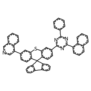 c1ccc(-c2nc(-c3ccc4c(c3)Sc3cc(-c5cncc6ccccc56)ccc3C43c4ccccc4-c4ccccc43)nc(-c3cccc4ccccc34)n2)cc1